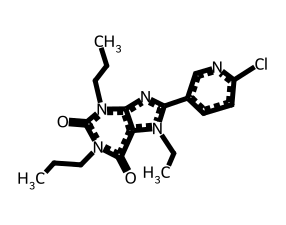 CCCn1c(=O)c2c(nc(-c3ccc(Cl)nc3)n2CC)n(CCC)c1=O